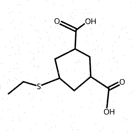 CCSC1CC(C(=O)O)CC(C(=O)O)C1